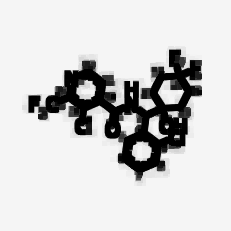 O=C(NC(c1ccccc1Cl)C1(O)CCC(F)(F)CC1)c1ccnc(C(F)(F)F)c1Cl